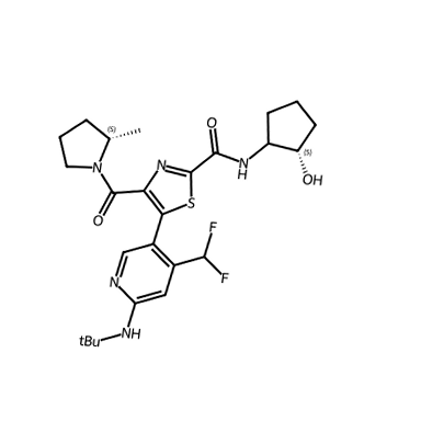 C[C@H]1CCCN1C(=O)c1nc(C(=O)NC2CCC[C@@H]2O)sc1-c1cnc(NC(C)(C)C)cc1C(F)F